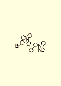 Brc1cccc(-c2cc(-c3ccccc3-c3cccc(-n4c5ccccc5c5cccnc54)c3)ccc2-n2c3ccccc3c3ccccc32)c1